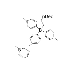 CCCCCCCCCCCC[B-](c1ccc(C)cc1)(c1ccc(C)cc1)c1ccc(C)cc1.C[n+]1ccccc1